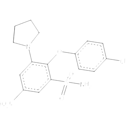 NS(=O)(=O)c1cc(C(=O)O)cc(N2CCCC2)c1Oc1ccc(Cl)cc1